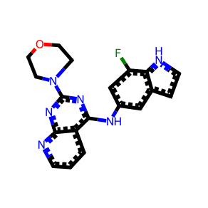 Fc1cc(Nc2nc(N3CCOCC3)nc3ncccc23)cc2cc[nH]c12